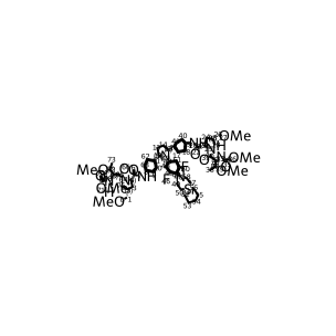 COC[C@H]1C[C@@H](C(=O)Nc2ccc([C@@H]3CC[C@@H](c4ccc(NC(=O)[C@@H]5C[C@H](COC)CN5C(=O)[C@@H](NC(=O)OC)[C@@H](C)OC)cc4)N3c3cc(F)c(N4CC[Si]5(CCCCC5)CC4)c(F)c3)cc2)N(C(=O)[C@@H](NC(=O)OC)[C@@H](C)OC)C1